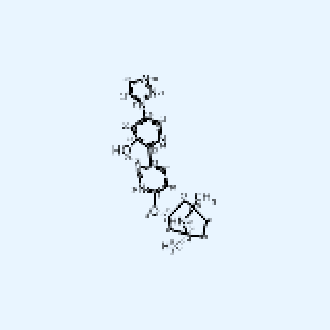 CC12CC[C@@](C)(C[C@H](Oc3ccc(-c4ncc(-n5ccnn5)cc4O)nn3)C1)N2